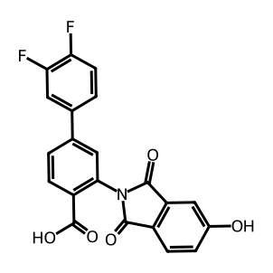 O=C(O)c1ccc(-c2ccc(F)c(F)c2)cc1N1C(=O)c2ccc(O)cc2C1=O